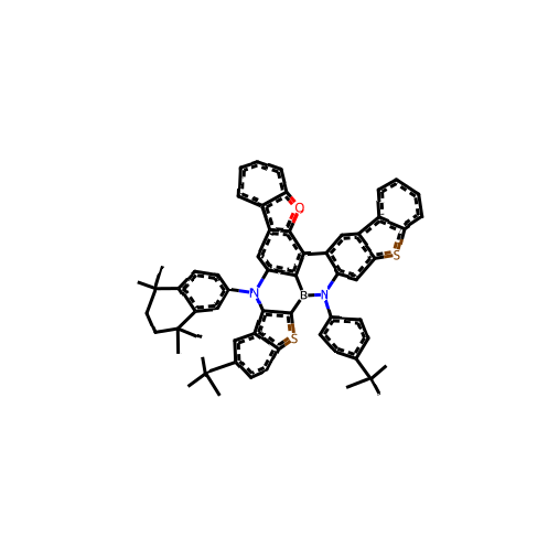 CC(C)(C)c1ccc(N2B3c4sc5ccc(C(C)(C)C)cc5c4N(c4ccc5c(c4)C(C)(C)CCC5(C)C)c4cc5c(oc6ccccc65)c(c43)-c3cc4c(cc32)sc2ccccc24)cc1